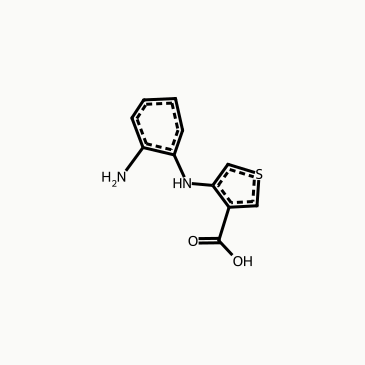 Nc1ccccc1Nc1cscc1C(=O)O